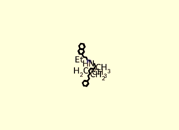 C=C(CCC1=CCCC=C1)C(=C)C[C@@H](C)C(C)CN/C=C/CC(CC)c1ccc2c(c1)C=CCC2